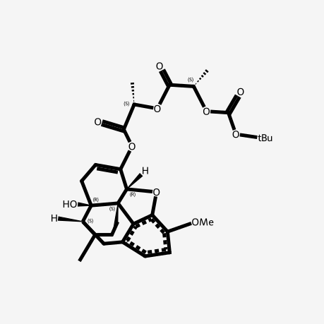 COc1ccc2c3c1O[C@H]1C(OC(=O)[C@H](C)OC(=O)[C@H](C)OC(=O)OC(C)(C)C)=CC[C@@]4(O)[C@@H](C2)C(C)CC[C@]314